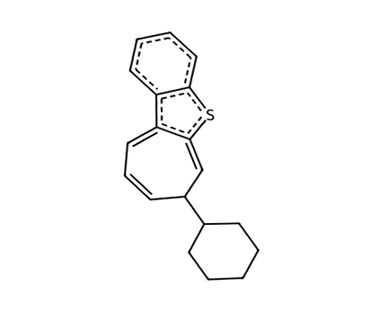 C1=CC(C2CCCCC2)C=c2sc3ccccc3c2=C1